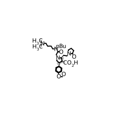 CCCCN(CCCCN(C)C)C(=O)CN1C[C@H](c2ccc3c(c2)OCO3)[C@@H](C(=O)O)[C@@H]1CCN1CCCC1=O